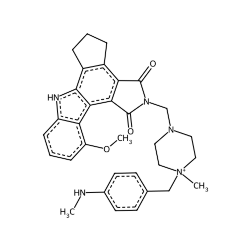 CNc1ccc(C[N+]2(C)CCN(CN3C(=O)c4c5c(c6[nH]c7cccc(OC)c7c6c4C3=O)CCC5)CC2)cc1